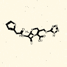 O=C(Cc1cccs1)NC1C(=O)N2C(C(=O)O)=C(CSc3nnn[nH]3)CS[C@H]12